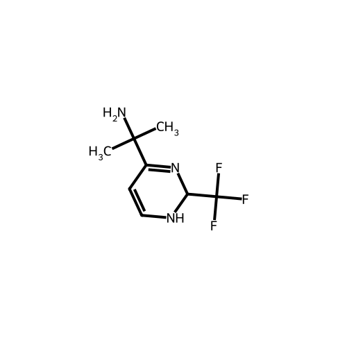 CC(C)(N)C1=NC(C(F)(F)F)NC=C1